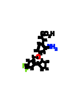 Nc1cc(OCC2=C(C3CCCC3)CC(F)(F)C2)ccc1CCC(=O)O